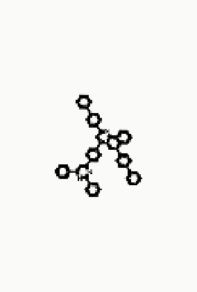 c1ccc(-c2ccc(-c3cc(-c4ccc(-c5cc(-c6ccccc6)nc(-c6ccccc6)n5)cc4)c4cc(-c5ccc(-c6ccccc6)cc5)c5ccccc5c4n3)cc2)cc1